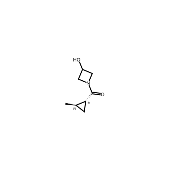 C[C@@H]1C[C@H]1C(=O)N1CC(O)C1